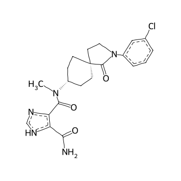 CN(C(=O)c1nc[nH]c1C(N)=O)[C@H]1CC[C@@]2(CCN(c3cccc(Cl)c3)C2=O)CC1